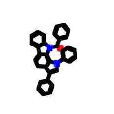 O=C(c1ccccc1)n1c2ccccc2c2ccc3c(-c4ccccc4)cn(-c4ccccc4)c3c21